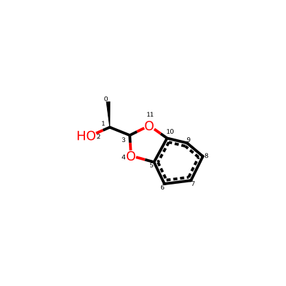 C[C@H](O)C1Oc2ccccc2O1